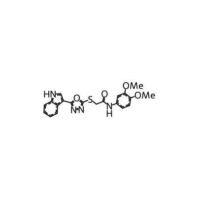 COc1ccc(NC(=O)CSc2nnc(-c3c[nH]c4ccccc34)o2)cc1OC